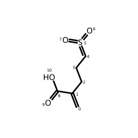 C=C(CCC=S(=O)=O)C(=O)O